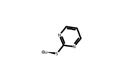 CC[C@H](C)Sc1ncccn1